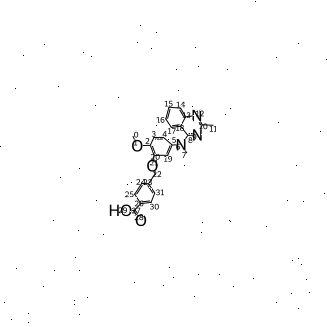 COc1ccc(N(C)c2nc(C)nc3ccccc23)cc1OCc1ccc(C(=O)O)cc1